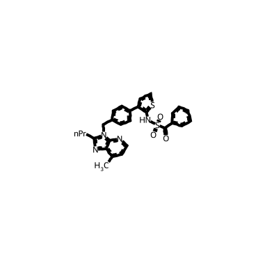 CCCc1nc2c(C)ccnc2n1Cc1ccc(-c2ccsc2NS(=O)(=O)C(=O)c2ccccc2)cc1